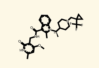 COc1cc(C)[nH]c(=O)c1CNC(=O)c1c(C)n([C@H](C)C2CCN(CC3(C(F)(F)F)CC3)CC2)c2ccccc12